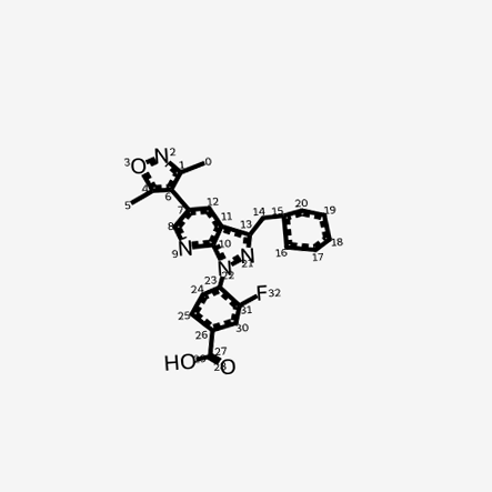 Cc1noc(C)c1-c1cnc2c(c1)c(Cc1ccccc1)nn2-c1ccc(C(=O)O)cc1F